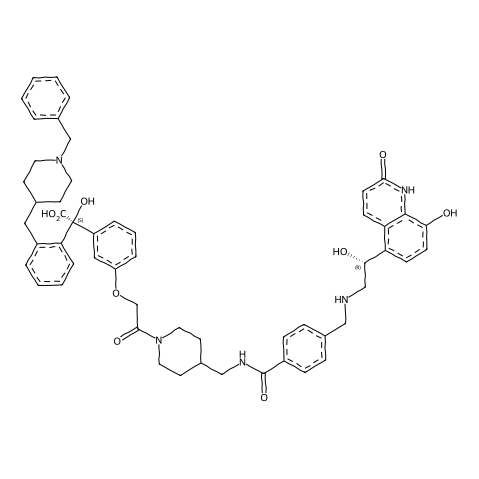 O=C(NCC1CCN(C(=O)COc2cccc([C@@](O)(C(=O)O)c3ccccc3CC3CCN(Cc4ccccc4)CC3)c2)CC1)c1ccc(CNC[C@H](O)c2ccc(O)c3[nH]c(=O)ccc23)cc1